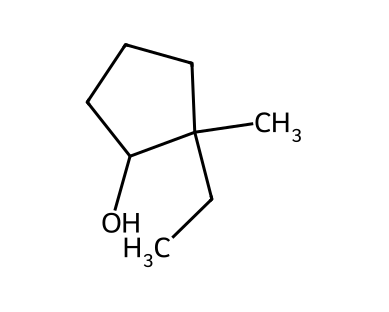 CCC1(C)CCCC1O